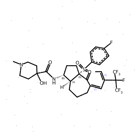 C=C1/C(=C\C(=C/C)C(F)(C(F)(F)F)C(F)(F)F)CCC[C@H]2[C@H](NC(=O)C3(O)CCN(C)CC3)CC[C@@]12S(=O)(=O)c1ccc(F)cc1